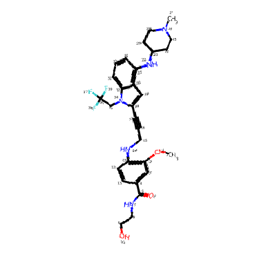 COc1cc(C(=O)NCCO)ccc1NCC#Cc1cc2c(NC3CCN(C)CC3)cccc2n1CC(F)(F)F